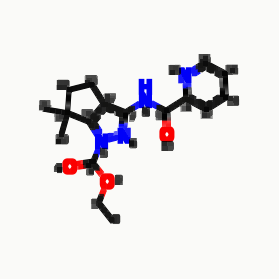 CCOC(=O)n1nc(NC(=O)c2ccccn2)c2c1C(C)(C)CC2